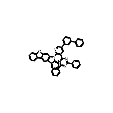 c1ccc(-c2cccc(-c3cnc(-n4c5ccccc5c5cc6c(cc54)oc4ccccc46)c(-c4nc(-c5ccccc5)nc(-c5ccccc5)n4)c3)c2)cc1